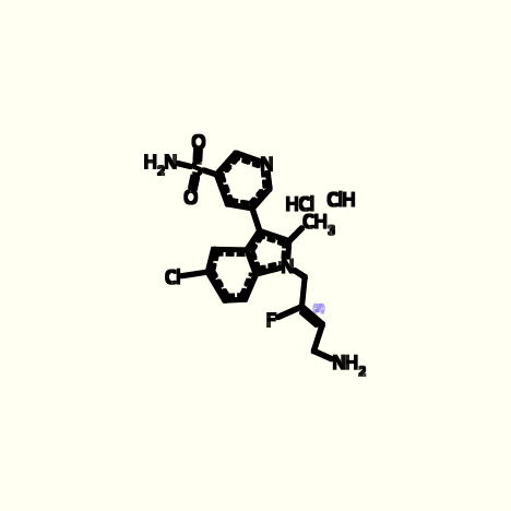 Cc1c(-c2cncc(S(N)(=O)=O)c2)c2cc(Cl)ccc2n1C/C(F)=C/CN.Cl.Cl